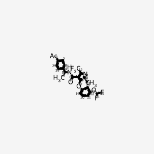 CC(=O)c1ccc([C@H](C)NC(=O)c2c(C(F)(F)F)nn(C)c2Oc2cccc(OC(F)F)c2)cc1